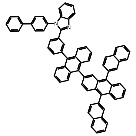 c1ccc(-c2ccc(-n3c(-c4cccc(-c5c6ccccc6c(-c6ccc7c(-c8ccc9ccccc9c8)c8ccccc8c(-c8ccc9ccccc9c8)c7c6)c6ccccc56)c4)nc4ccccc43)cc2)cc1